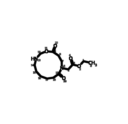 CCOC(=O)CN1CCC(=O)OCNCCCCCC1=O